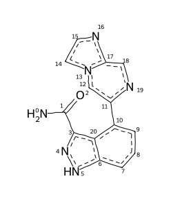 NC(=O)c1n[nH]c2cccc(-c3cn4ccnc4cn3)c12